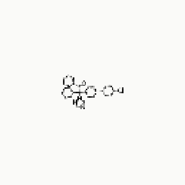 O=C(c1ccccc1)C(c1ccccc1)(c1ccc(-c2ccc(Cl)cc2)cc1)n1cncn1